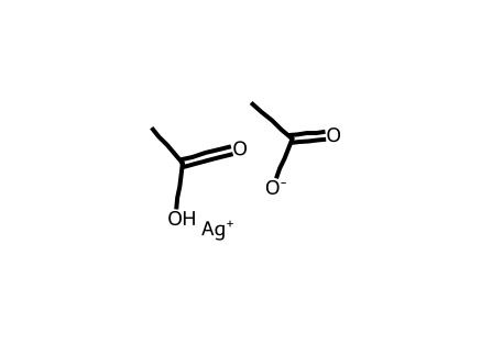 CC(=O)O.CC(=O)[O-].[Ag+]